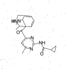 Cc1cc(C(=O)C23C=CC=C(CNC2C)C3N)nc(NC(=O)C2CC2)n1